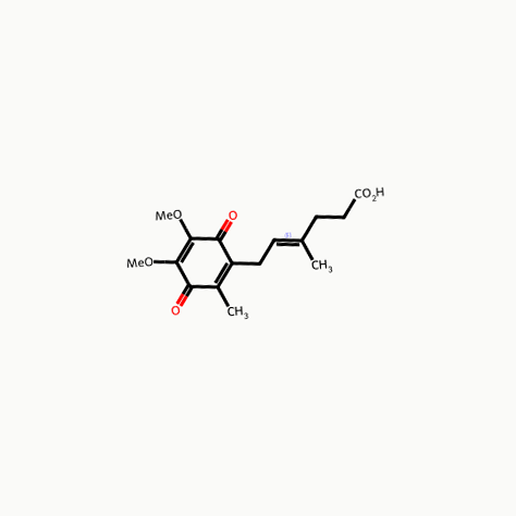 COC1=C(OC)C(=O)C(C/C=C(\C)CCC(=O)O)=C(C)C1=O